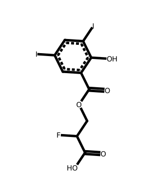 O=C(OCC(F)C(=O)O)c1cc(I)cc(I)c1O